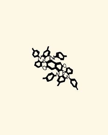 Cc1ccc(N2c3cccc4c3B3c5c2cc(C)cc5N(c2ccc(C)cc2)c2c3c(cc3c5c6c(cc23)Oc2cccc3c2B6c2c(cc(C)cc2N5c2ccc(C)cc2)N3c2ccc(C)cc2)O4)cc1